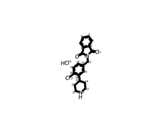 Cl.O=C1c2ccccc2C(=O)N1Cc1ccc(Cl)c(C2CCNCC2)c1